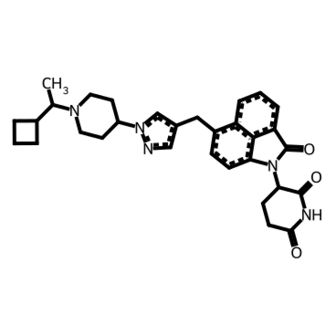 CC(C1CCC1)N1CCC(n2cc(Cc3ccc4c5c(cccc35)C(=O)N4C3CCC(=O)NC3=O)cn2)CC1